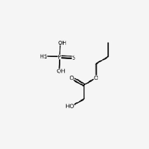 CCCOC(=O)CO.OP(O)(=S)S